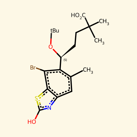 Cc1cc2nc(O)sc2c(Br)c1[C@H](CCC(C)(C)C(=O)O)OC(C)(C)C